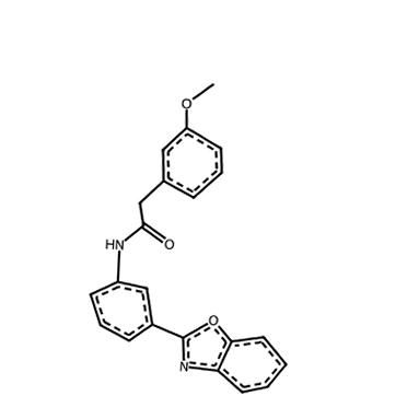 COc1cccc(CC(=O)Nc2cccc(-c3nc4ccccc4o3)c2)c1